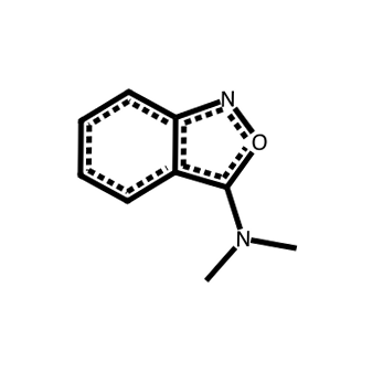 CN(C)c1onc2ccccc12